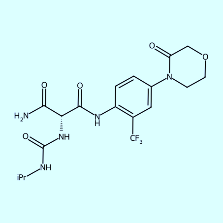 CC(C)NC(=O)N[C@H](C(N)=O)C(=O)Nc1ccc(N2CCOCC2=O)cc1C(F)(F)F